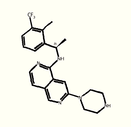 Cc1c([C@@H](C)Nc2nccc3cnc(N4CCNCC4)cc23)cccc1C(F)(F)F